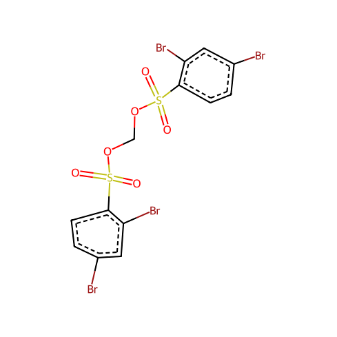 O=S(=O)(OCOS(=O)(=O)c1ccc(Br)cc1Br)c1ccc(Br)cc1Br